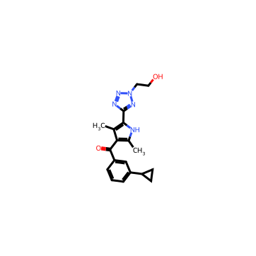 Cc1[nH]c(-c2nnn(CCO)n2)c(C)c1C(=O)c1cccc(C2CC2)c1